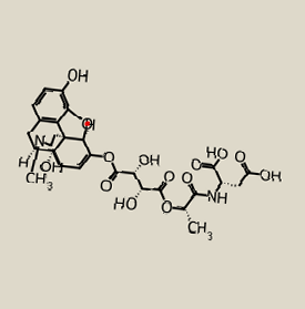 C[C@H](OC(=O)[C@H](O)[C@@H](O)C(=O)OC1=CC[C@@]2(O)[C@H]3Cc4ccc(O)c5c4[C@@]2(CCN3C)[C@H]1O5)C(=O)N[C@@H](CC(=O)O)C(=O)O